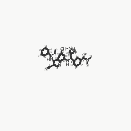 CC[C@@H](Nc1c(C#N)cnc2c(N[C@@H](c3cccc(C(=O)N(C)C)c3)c3c[nH]nn3)cc(Cl)cc12)c1ccccc1